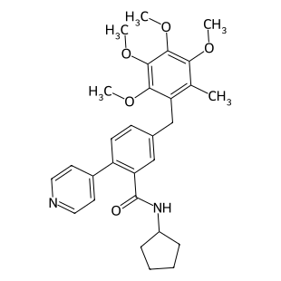 COc1c(C)c(Cc2ccc(-c3ccncc3)c(C(=O)NC3CCCC3)c2)c(OC)c(OC)c1OC